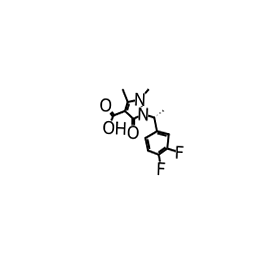 Cc1c(C(=O)O)c(=O)n([C@H](C)c2ccc(F)c(F)c2)n1C